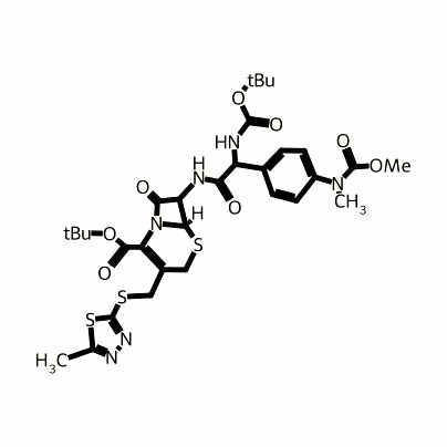 COC(=O)N(C)c1ccc(C(NC(=O)OC(C)(C)C)C(=O)NC2C(=O)N3C(C(=O)OC(C)(C)C)=C(CSc4nnc(C)s4)CS[C@@H]23)cc1